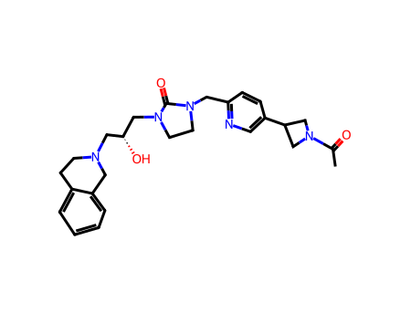 CC(=O)N1CC(c2ccc(CN3CCN(C[C@H](O)CN4CCc5ccccc5C4)C3=O)nc2)C1